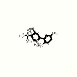 Cc1ccc(C)c(-c2cc(C(C)(C)C)c([Si](C)(C)C)c[n+]2C)c1